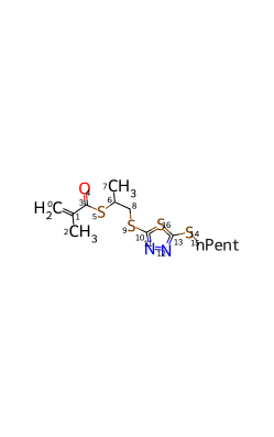 C=C(C)C(=O)SC(C)CSc1nnc(SCCCCC)s1